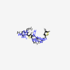 C/N=C(/NCCc1cccs1)NC(=N)Nc1csc(CCN(C)/C(=N/C)NC(=N)N)c1